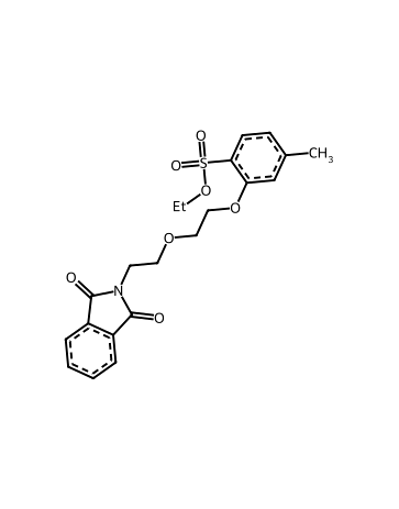 CCOS(=O)(=O)c1ccc(C)cc1OCCOCCN1C(=O)c2ccccc2C1=O